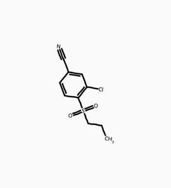 CCCS(=O)(=O)c1ccc(C#N)cc1Cl